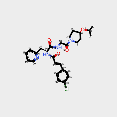 CC(C)OC1CCN(C(=O)CNC(=O)[C@H](Cc2ccccn2)NC(=O)/C=C/c2ccc(Cl)cc2)CC1